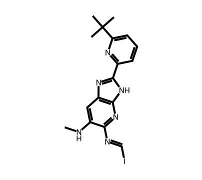 CNc1cc2nc(-c3cccc(C(C)(C)C)n3)[nH]c2nc1/N=C/I